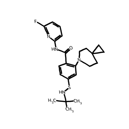 CC(C)(C)NSc1ccc(C(=O)Nc2cccc(F)n2)c(N2CCC3(CC2)CC3)c1